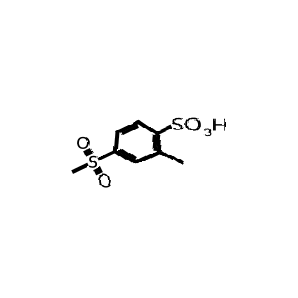 Cc1cc(S(C)(=O)=O)ccc1S(=O)(=O)O